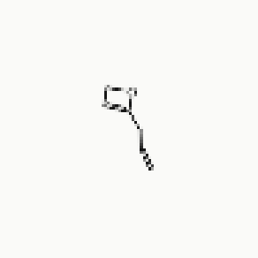 C=CCC1=CCO1